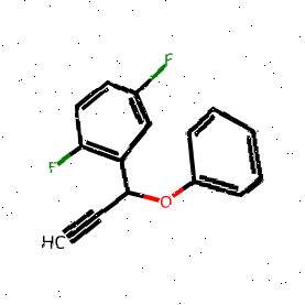 C#CC(Oc1cc[c]cc1)c1cc(F)ccc1F